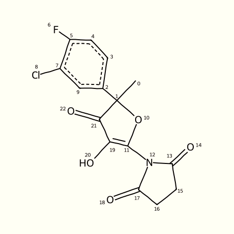 CC1(c2ccc(F)c(Cl)c2)OC(N2C(=O)CCC2=O)=C(O)C1=O